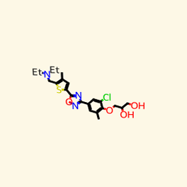 CCN(CC)Cc1sc(-c2nc(-c3cc(C)c(OCC(O)CO)c(Cl)c3)no2)cc1C